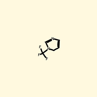 FC(F)(F)N1[C]=NC=CC1